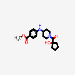 COC(=O)c1ccc(NC2CCN(C(=O)C3(O)CCCC3)CC2)cc1